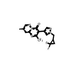 Cc1cnn2c(=O)c(-c3cnn(CC4CC4(F)F)c3)c(C(F)(F)F)nc2c1